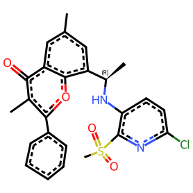 Cc1cc([C@@H](C)Nc2ccc(Cl)nc2S(C)(=O)=O)c2oc(-c3ccccc3)c(C)c(=O)c2c1